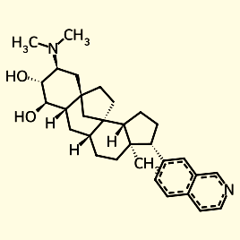 CN(C)[C@H]1C[C@@]23CC[C@@]4(C2)[C@H](CC[C@]2(C)[C@@H](c5ccc6ccncc6c5)CC[C@H]24)C[C@@H]3[C@@H](O)[C@@H]1O